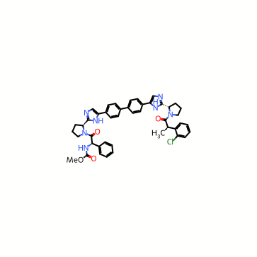 COC(=O)N[C@@H](C(=O)N1CCC[C@H]1c1ncc(-c2ccc(-c3ccc(-c4cnc([C@@H]5CCCN5C(=O)[C@H](C)c5ccccc5Cl)[nH]4)cc3)cc2)[nH]1)c1ccccc1